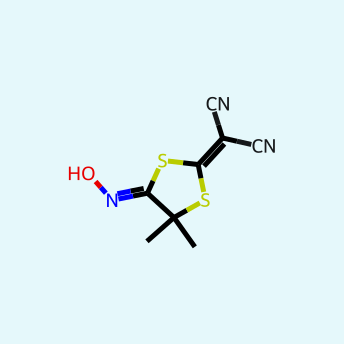 CC1(C)SC(=C(C#N)C#N)S/C1=N\O